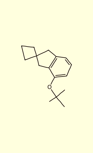 CC(C)(C)Oc1cccc2c1CC1(CCC1)C2